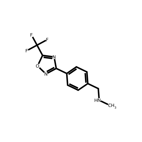 CNCc1ccc(-c2noc(C(F)(F)F)n2)cc1